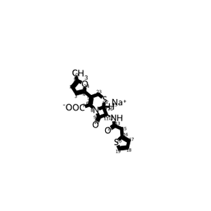 Cc1ccc(C2=C(C(=O)[O-])N3C(=O)[C@@H](NC(=O)Cc4cccs4)[C@H]3SC2)o1.[Na+]